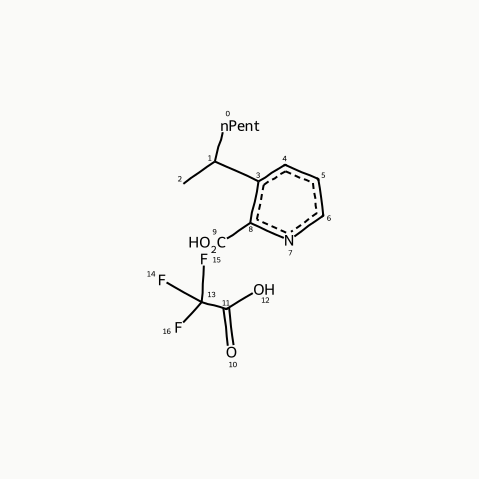 CCCCCC(C)c1cccnc1C(=O)O.O=C(O)C(F)(F)F